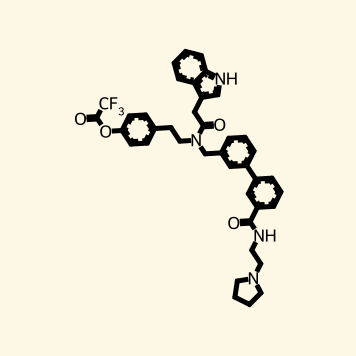 O=C(NCCN1CCCC1)c1cccc(-c2cccc(CN(CCc3ccc(OC(=O)C(F)(F)F)cc3)C(=O)Cc3c[nH]c4ccccc34)c2)c1